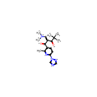 Cc1nc(-n2cncn2)ccc1C(=O)/C(=C\N(C)C)C(=O)C(C)(C)C